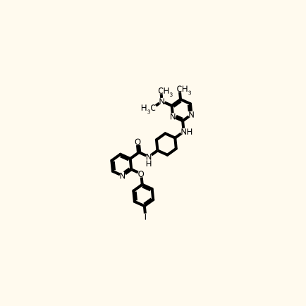 Cc1cnc(NC2CCC(NC(=O)c3cccnc3Oc3ccc(I)cc3)CC2)nc1N(C)C